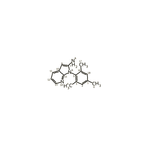 Cc1cc(C)c(-n2c(N)cc3cccnc32)c(C)c1